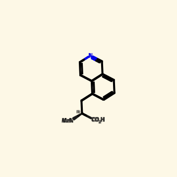 CN[C@@H](Cc1cccc2cnccc12)C(=O)O